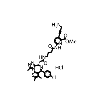 COC(=O)c1nc(NC(=O)CCCNC(=O)C[C@@H]2N=C(c3ccc(Cl)cc3)c3c(sc(C)c3C)-n3c(C)nnc32)ccc1C#CCN.Cl